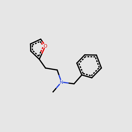 CN(CCc1ccco1)Cc1ccccc1